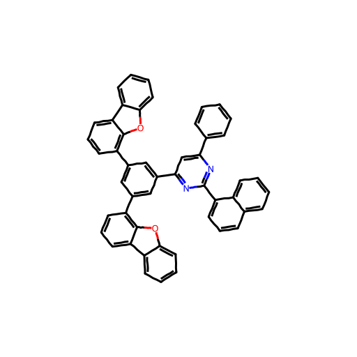 c1ccc(-c2cc(-c3cc(-c4cccc5c4oc4ccccc45)cc(-c4cccc5c4oc4ccccc45)c3)nc(-c3cccc4ccccc34)n2)cc1